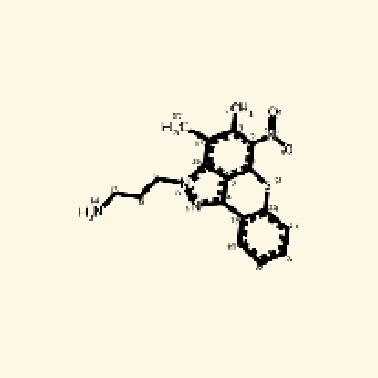 Cc1c([N+](=O)[O-])c2c3c(nn(CCCN)c3c1C)-c1ccccc1S2